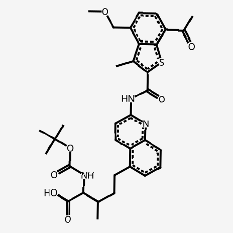 COCc1ccc(C(C)=O)c2sc(C(=O)Nc3ccc4c(CCC(C)C(NC(=O)OC(C)(C)C)C(=O)O)cccc4n3)c(C)c12